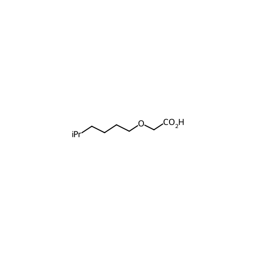 CC(C)CCCCOCC(=O)O